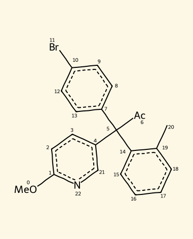 COc1ccc(C(C(C)=O)(c2ccc(Br)cc2)c2ccccc2C)cn1